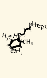 CCCCCCCCCCPc1c(C)cc(C)cc1C